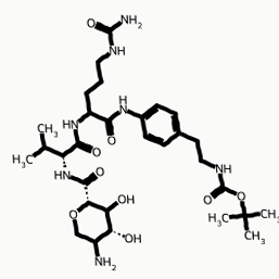 CC(C)[C@@H](NC(=O)[C@H]1OCC(N)[C@@H](O)C1O)C(=O)NC(CCCNC(N)=O)C(=O)Nc1ccc(CCNC(=O)OC(C)(C)C)cc1